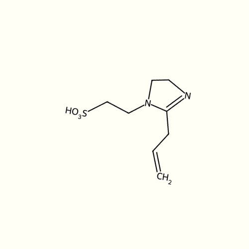 C=CCC1=NCCN1CCS(=O)(=O)O